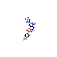 CC(C)c1ccc(C(=O)NC2CCC(=N)/C(=C\C(=O)NCC(F)(F)F)C2)cc1